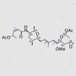 CO[C@@H]1[C@@H](/C=C/C(C)=C/C[C@@H]2O[C@H](C)[C@H](NC(=O)/C=C\C(C)OC(C)=O)C[C@@H]2C)O[C@@H](OC(C)=O)C[C@@]12CO2